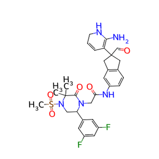 CC1(C)C(=O)N(CC(=O)Nc2ccc3c(c2)CC(C=O)(C2=C(N)NCC=C2)C3)C(c2cc(F)cc(F)c2)CN1S(C)(=O)=O